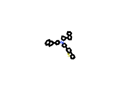 c1cc(-c2cccc3ccccc23)cc(N(c2ccc(-c3ccc4ccccc4c3)cc2)c2ccc(-c3ccc4c(c3)sc3ccccc34)cc2)c1